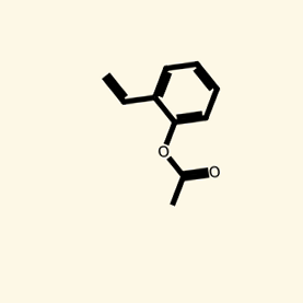 C=Cc1ccccc1OC(C)=O